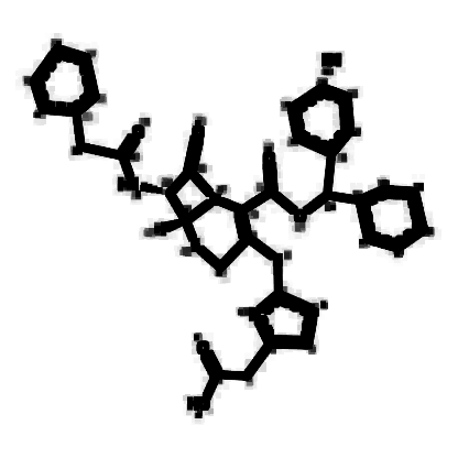 O=C(O)Cc1csc(SC2=C(C(=O)OC(c3ccccc3)c3ccccc3)N3C(=O)[C@@H](NC(=O)Cc4ccccc4)[C@H]3SC2)n1.[KH]